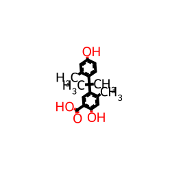 Cc1cc(O)ccc1C(C)(C)c1cc(C(=O)O)c(O)cc1C